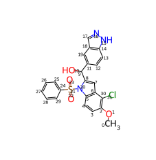 COc1ccc2c(cc(C(O)c3ccc4[nH]ncc4c3)n2S(=O)(=O)c2ccccc2)c1Cl